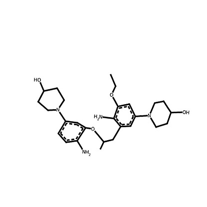 CCOc1cc(N2CCC(O)CC2)cc(CC(C)Oc2cc(N3CCC(O)CC3)ccc2N)c1N